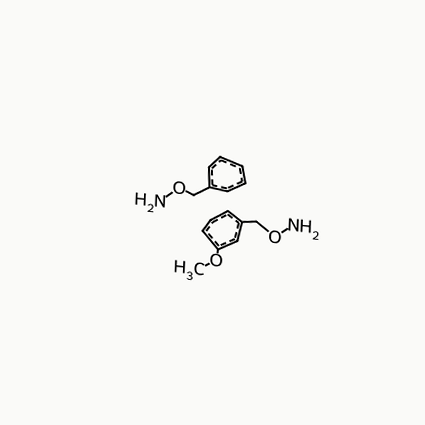 COc1cccc(CON)c1.NOCc1ccccc1